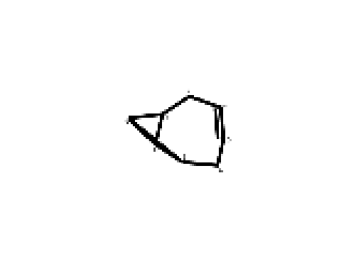 C1=CCC2C3C(C1)C23